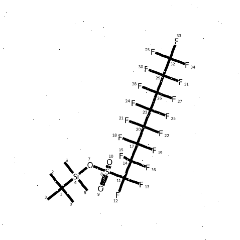 CC(C)(C)[Si](C)(C)OS(=O)(=O)C(F)(F)C(F)(F)C(F)(F)C(F)(F)C(F)(F)C(F)(F)C(F)(F)C(F)(F)F